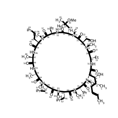 C/C=C/C[C@@H](C)[C@@H](O)[C@H]1C(=O)N[C@@H](CC)C(=O)N(C)[C@H](CO)C(=O)N(C)[C@@H](CC(C)(C)OC)C(=O)N[C@H](C(C)C)C(=O)N(C)[C@H](CCC(C)C)C(=O)N[C@H](C)C(=O)N[C@@H](C)C(=O)N(C)[C@@H](CC(C)C)C(=O)N(C)[C@@H](CC(C)C)C(=O)N(C)[C@@H](C(C)C)C(=O)N1C